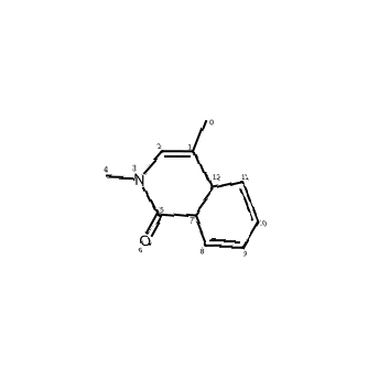 CC1=CN(C)C(=O)C2C=CC=CC12